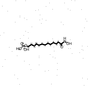 O=C(CCCCCCCCCCCCOP(=O)(O)O)NO